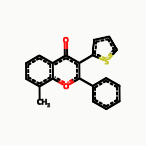 Cc1cccc2c(=O)c(-c3cccs3)c(-c3ccccc3)oc12